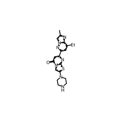 CCc1cc(-c2cc(=O)n3cc(N4CCNCC4)sc3n2)nn2cc(C)nc12